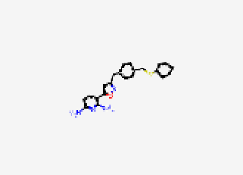 Nc1ccc(-c2cc(Cc3ccc(CSc4ccccc4)cc3)no2)c(N)n1